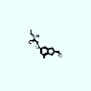 CCNC(=O)COc1cc(F)c2c(c1)CC(C=O)C2